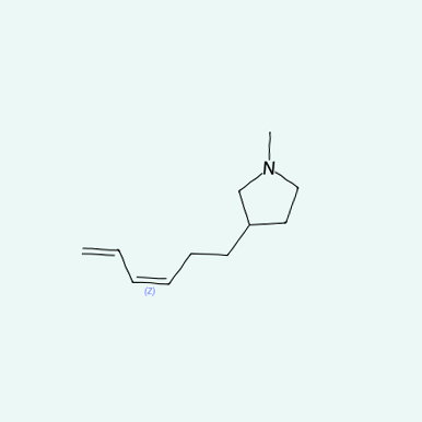 C=C/C=C\CCC1CCN(C)C1